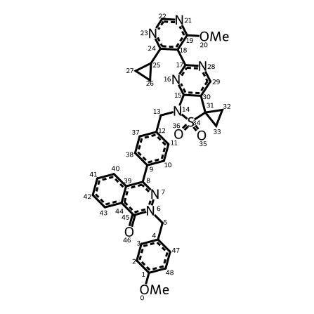 COc1ccc(Cn2nc(-c3ccc(CN4c5nc(-c6c(OC)ncnc6C6CC6)ncc5C5(CC5)S4(=O)=O)cc3)c3ccccc3c2=O)cc1